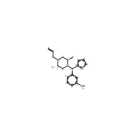 C=CCN1C[C@@H](C)N([C@H](c2cccc(O)c2)c2cccs2)C[C@@H]1C